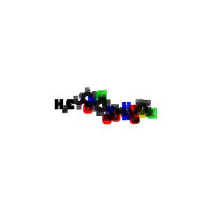 C=CCC1CCCN(c2ccc(N3C[C@H](CNC(=O)Oc4ccc(Cl)s4)OC3=O)cc2Cl)C1=O